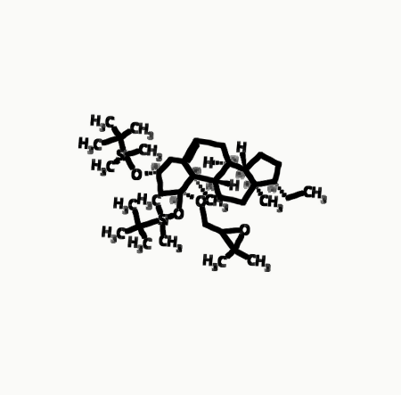 CC[C@H]1CC[C@H]2[C@@H]3CC=C4C[C@@H](O[Si](C)(C)C(C)(C)C)C[C@](OCC5OC5(C)C)(O[Si](C)(C)C(C)(C)C)[C@]4(C)[C@H]3CC[C@]12C